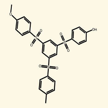 COc1ccc(S(=O)(=O)c2cc(S(=O)(=O)c3ccc(C)cc3)cc(S(=O)(=O)c3ccc(O)cc3)c2)cc1